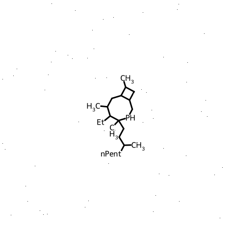 CCCCCC(C)CCC1(C)PCC2CC(C)C2CC(C)C1CC